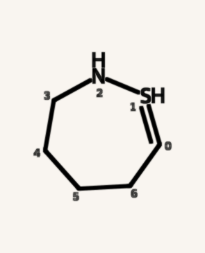 C1=[SH]NCCCC1